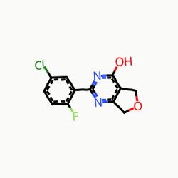 Oc1nc(-c2cc(Cl)ccc2F)nc2c1COC2